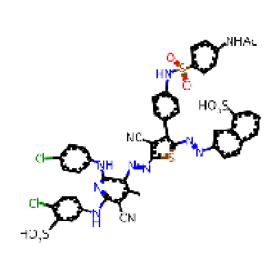 CC(=O)Nc1ccc(S(=O)(=O)Nc2ccc(-c3c(N=Nc4ccc5cccc(S(=O)(=O)O)c5c4)sc(N=Nc4c(Nc5ccc(Cl)cc5)nc(Nc5ccc(Cl)c(S(=O)(=O)O)c5)c(C#N)c4C)c3C#N)cc2)cc1